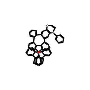 c1ccc(-n2ccoc3cc4c5ccccc5c5cccc(-n6c7ccccc7c7ccccc76)c5c5c(-n6c7ccccc7c7ccccc76)cccc5c4cc32)cc1